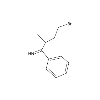 CC(CCBr)C(=N)c1ccccc1